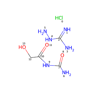 Cl.N=C(N)NN.NC(=O)NC(=O)CO